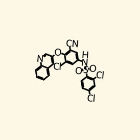 N#Cc1cc(NS(=O)(=O)c2ccc(Cl)cc2Cl)cc(Cl)c1Oc1cnc2ccccc2c1